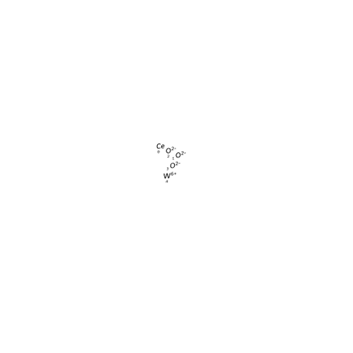 [Ce].[O-2].[O-2].[O-2].[W+6]